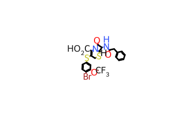 O=C(Cc1ccccc1)N[C@@H]1C(=O)N2C(C(=O)O)=C(Sc3ccc(Br)c(OC(F)(F)F)c3)CS[C@@H]12